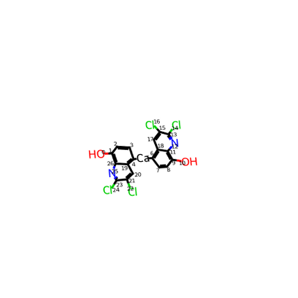 Oc1cc[c]([Ca][c]2ccc(O)c3nc(Cl)c(Cl)cc23)c2cc(Cl)c(Cl)nc12